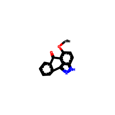 CCCCOc1ccc2[nH]nc3c2c1C(=O)c1ccccc1-3